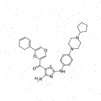 Nc1nc(Nc2ccc(N3CCN(C4CCCC4)CC3)cc2)sc1C(=O)C1=COC=C(C2=CC=CCC2)O1